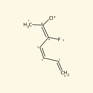 C=C/C=C\C(F)=C(/C)Cl